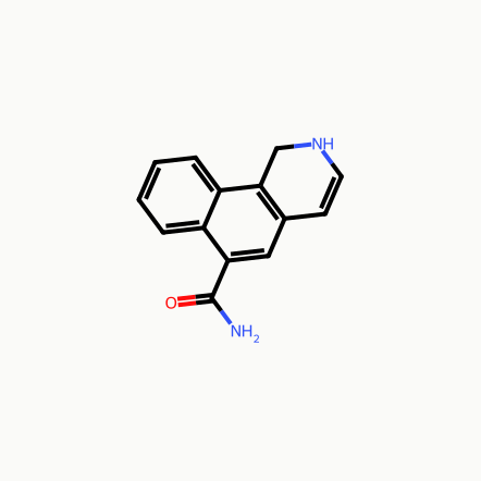 NC(=O)c1cc2c(c3ccccc13)CNC=C2